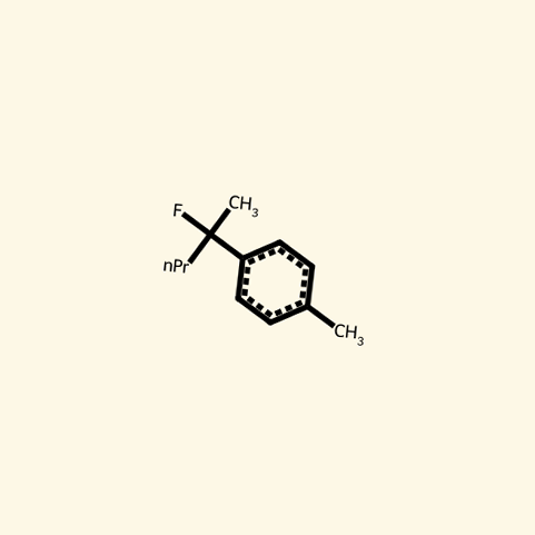 CCCC(C)(F)c1ccc(C)cc1